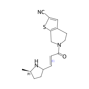 C[C@@H]1CCC(/C=C/C(=O)N2CCc3cc(C#N)sc3C2)N1